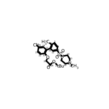 Cc1ccc(S(=O)(=O)N2CCN(C)CC2)cc1-c1cc(Cl)ccc1OCC(=O)OC(C)(C)C